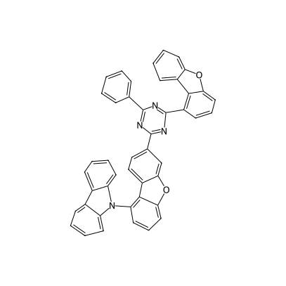 c1ccc(-c2nc(-c3ccc4c(c3)oc3cccc(-n5c6ccccc6c6ccccc65)c34)nc(-c3cccc4oc5ccccc5c34)n2)cc1